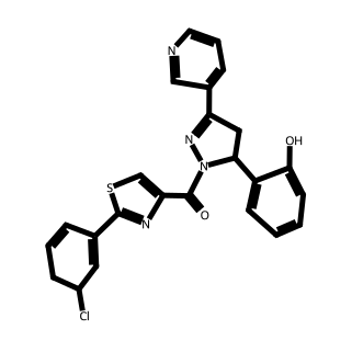 O=C(c1csc(C2=CC(Cl)CC=C2)n1)N1N=C(c2cccnc2)CC1c1ccccc1O